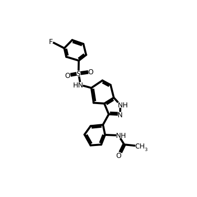 CC(=O)Nc1ccccc1-c1n[nH]c2ccc(NS(=O)(=O)c3cccc(F)c3)cc12